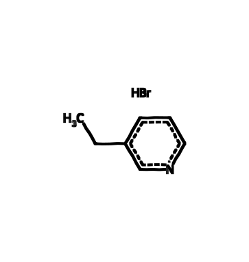 Br.CCc1cccnc1